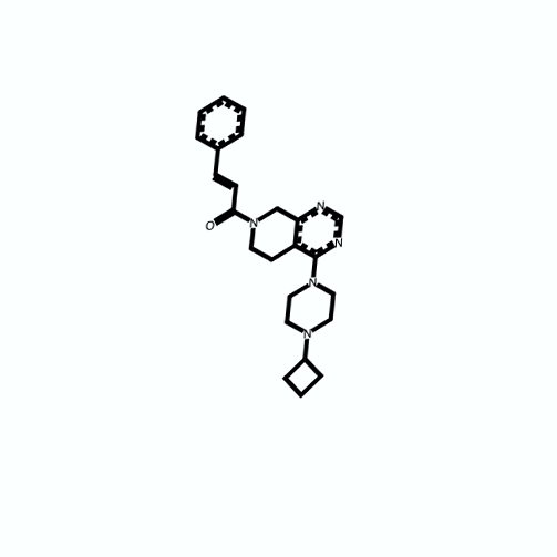 O=C(/C=C/c1ccccc1)N1CCc2c(ncnc2N2CCN(C3CCC3)CC2)C1